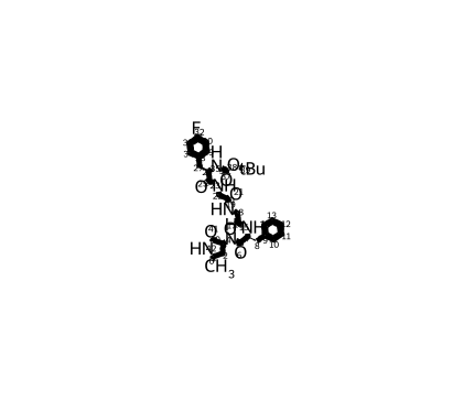 CC1CC(NC(=O)[C@@H](Cc2ccccc2)NC(=O)CNC(=O)CNC(=O)[C@@H](Cc2ccc(F)cc2)NC(=O)OC(C)(C)C)C(=O)N1